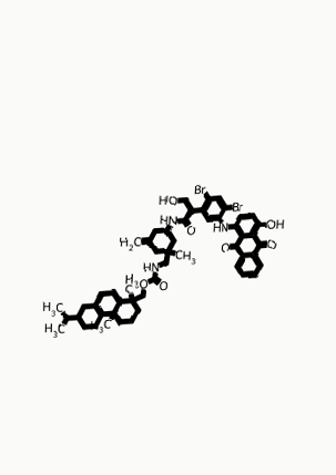 C=C1CC(NC(=O)C(CO)c2cc(Nc3ccc(O)c4c3C(=O)c3ccccc3C4=O)c(Br)cc2Br)CC(C)(CNC(=O)OCC2(C)CCCC3(C)C4CCC(C(C)C)CC4CCC23)C1